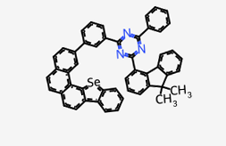 CC1(C)c2ccccc2-c2c(-c3nc(-c4ccccc4)nc(-c4cccc(-c5ccc6ccc7ccc8c9ccccc9[se]c8c7c6c5)c4)n3)cccc21